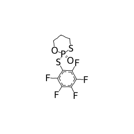 O=P1(Sc2c(F)c(F)c(F)c(F)c2F)OCCCS1